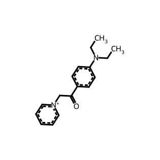 CCN(CC)c1ccc(C(=O)C[n+]2ccccc2)cc1